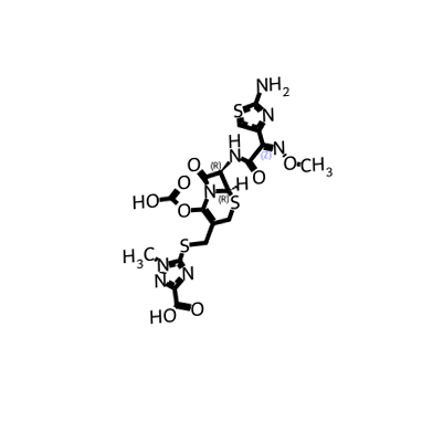 CO/N=C(\C(=O)N[C@@H]1C(=O)N2C(OC(=O)O)=C(CSc3nc(C(=O)O)nn3C)CS[C@H]12)c1csc(N)n1